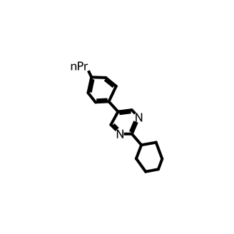 CCCc1ccc(-c2cnc(C3CCCCC3)nc2)cc1